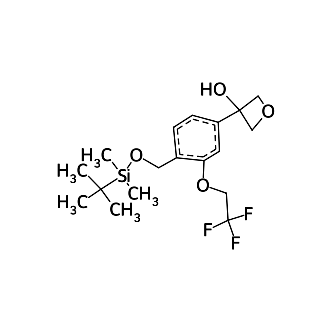 CC(C)(C)[Si](C)(C)OCc1ccc(C2(O)COC2)cc1OCC(F)(F)F